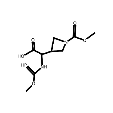 COC(=O)N1CC(C(NC(=P)OC)C(=O)O)C1